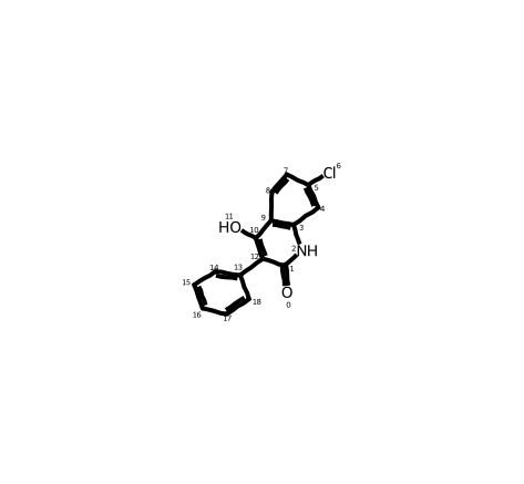 O=c1[nH]c2cc(Cl)ccc2c(O)c1-c1ccccc1